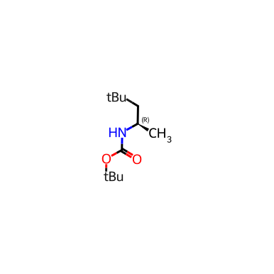 C[C@H](CC(C)(C)C)NC(=O)OC(C)(C)C